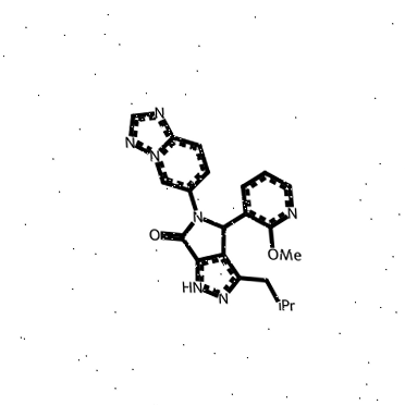 COc1ncccc1C1c2c(CC(C)C)n[nH]c2C(=O)N1c1ccc2ncnn2c1